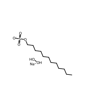 CCCCCCCCCCCCOS(=O)(=O)[O-].OO.[Na+]